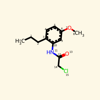 CCCc1ccc(OC)cc1NC(=O)CCl